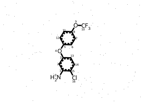 Nc1cc(Oc2ccc(OC(F)(F)F)cc2)ccc1Cl